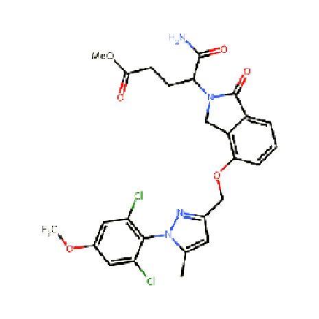 COC(=O)CCC(C(N)=O)N1Cc2c(OCc3cc(C)n(-c4c(Cl)cc(OC(F)(F)F)cc4Cl)n3)cccc2C1=O